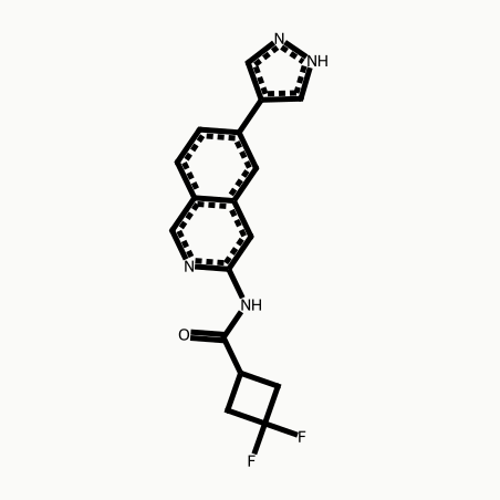 O=C(Nc1cc2cc(-c3cn[nH]c3)ccc2cn1)C1CC(F)(F)C1